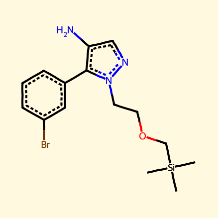 C[Si](C)(C)COCCn1ncc(N)c1-c1cccc(Br)c1